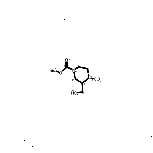 CCCCOC(=O)N1CCN(C(=O)O)C(CO)C1